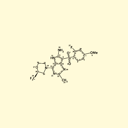 COc1ccc(S(=O)(=O)c2c(N)[nH]c3c(N4CCO[C@H](C(F)(F)F)C4)nc(C)nc23)c(F)c1